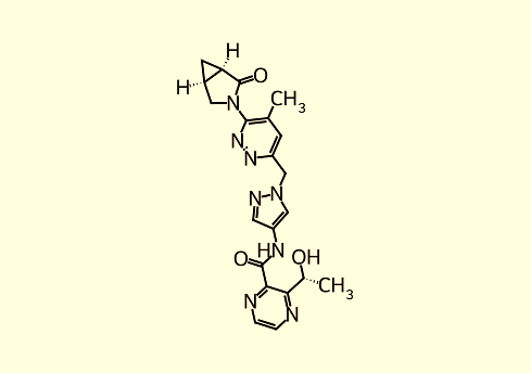 Cc1cc(Cn2cc(NC(=O)c3nccnc3[C@@H](C)O)cn2)nnc1N1C[C@H]2C[C@H]2C1=O